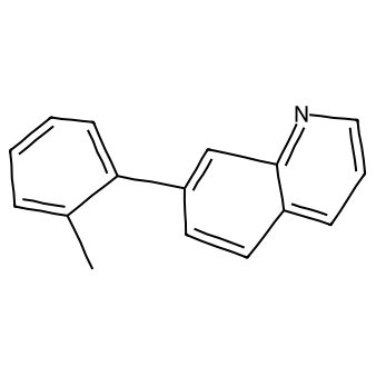 Cc1ccccc1-c1ccc2cccnc2c1